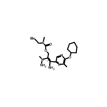 Cc1nc(/C(N)=C(\COC(=O)N(C)CC(C)(C)C)N(C)N)cnc1OC1CCCCC1